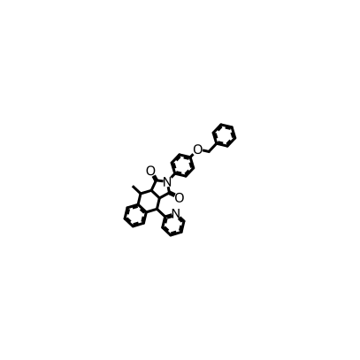 CC1c2ccccc2C(c2ccccn2)C2C(=O)N(c3ccc(OCc4ccccc4)cc3)C(=O)C12